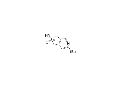 CC(C)(C)c1cc2c(cn1)C[S@@](=N)(=O)C2